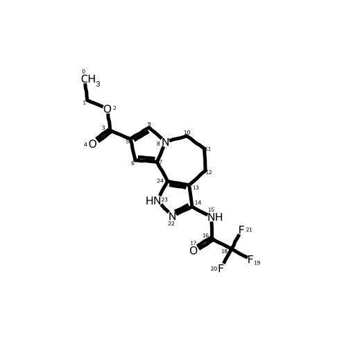 CCOC(=O)c1cc2n(c1)CCCc1c(NC(=O)C(F)(F)F)n[nH]c1-2